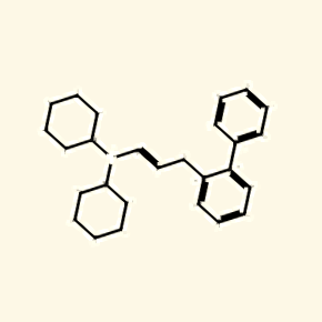 C(=CP(C1CCCCC1)C1CCCCC1)Cc1ccccc1-c1ccccc1